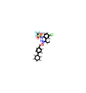 CC/C(=N\OCc1ccc(C2CCCCC2)cc1)c1cc(Cl)ccc1NS(=O)(=O)C(F)(F)F